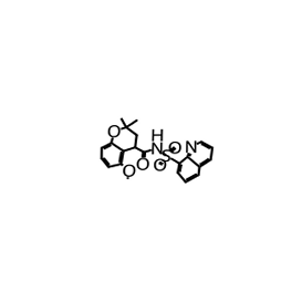 COc1cccc2c1C(C(=O)NS(=O)(=O)c1cccc3cccnc13)CC(C)(C)O2